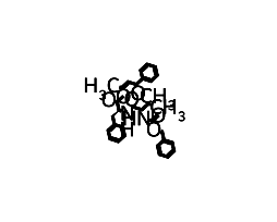 CC(=CC(=O)c1ccccc1)OC(=O)[C@H](Cc1ccccc1)NC(=O)[C@@H](NC(=O)OCc1ccccc1)C(C)C